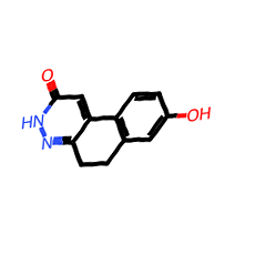 O=c1cc2c(n[nH]1)CCc1cc(O)ccc1-2